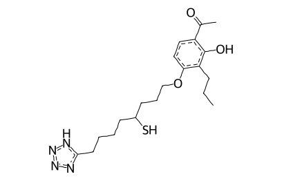 CCCc1c(OCCCC(S)CCCCc2nnn[nH]2)ccc(C(C)=O)c1O